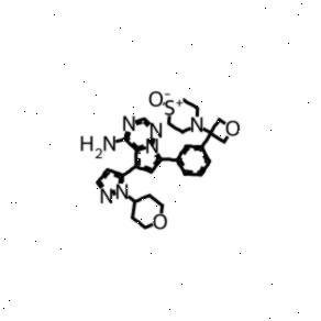 Nc1ncnn2c(-c3cccc(C4(N5CC[S+]([O-])CC5)COC4)c3)cc(-c3ccnn3C3CCOCC3)c12